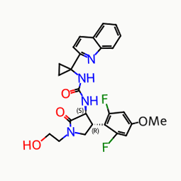 COc1cc(F)c([C@@H]2CN(CCO)C(=O)[C@H]2NC(=O)NC2(c3ccc4ccccc4n3)CC2)c(F)c1